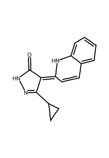 O=C1NN=C(C2CC2)/C1=C1\C=Cc2ccccc2N1